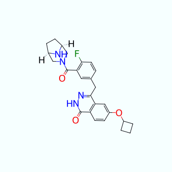 O=C(c1cc(Cc2n[nH]c(=O)c3ccc(OC4CCC4)cc23)ccc1F)N1C[C@H]2CC[C@@H](C1)N2